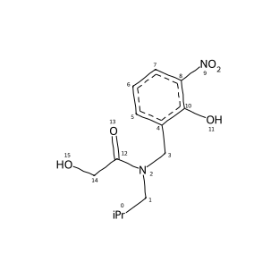 CC(C)CN(Cc1cccc([N+](=O)[O-])c1O)C(=O)CO